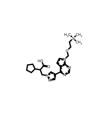 C[Si](C)(C)CCOCn1ccc2c(-c3cnn(CC(C(=O)O)C4CCCC4)c3)ncnc21